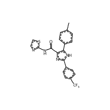 Cc1ccc(-c2[nH]c(-c3ccc(C(F)(F)F)cc3)nc2C(=O)Nc2nccs2)cc1